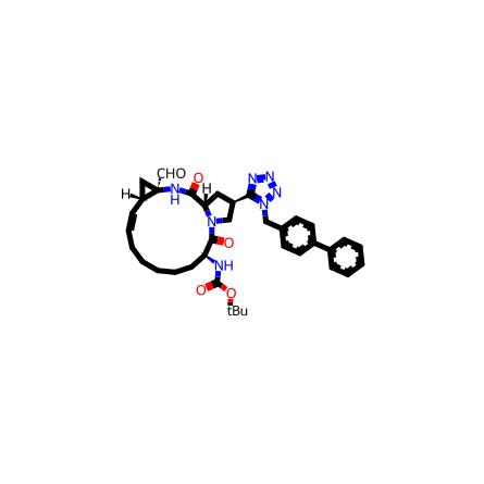 CC(C)(C)OC(=O)N[C@H]1CCCCC/C=C\[C@@H]2C[C@@]2(C=O)NC(=O)[C@@H]2C[C@@H](c3nnnn3Cc3ccc(-c4ccccc4)cc3)CN2C1=O